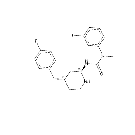 CN(C(=O)N[C@@H]1C[C@@H](Cc2ccc(F)cc2)CCN1)c1cccc(F)c1